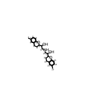 Cc1ccc2c(c1)CCC(C(O)CNCC(O)C1CCc3cc(C)ccc3O1)O2